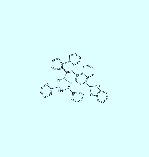 c1ccc(C2=NC(c3c(-c4ccc(C5Nc6ccccc6O5)c5ccccc45)c4ccccc4c4ccccc34)NC(c3ccccc3)N2)cc1